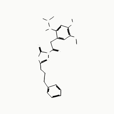 COc1cc(CC(=N)n2nc(CCCc3ccccc3)sc2=N)c([S+]([O-])N(C)C)cc1OC